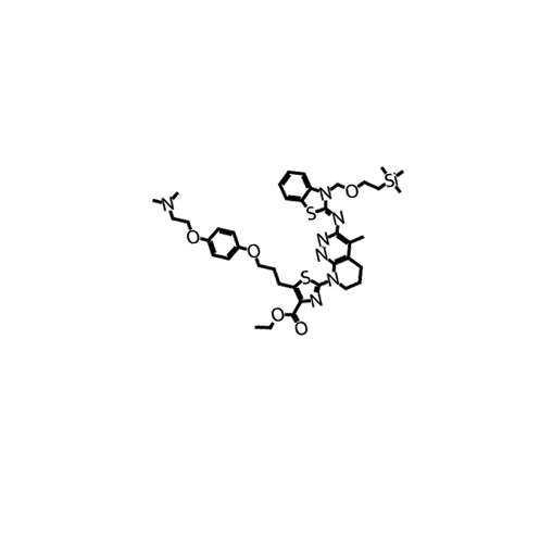 CCOC(=O)c1nc(N2CCCc3c2nnc(/N=c2\sc4ccccc4n2COCC[Si](C)(C)C)c3C)sc1CCCOc1ccc(OCCN(C)C)cc1